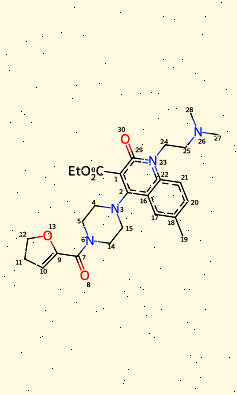 CCOC(=O)c1c(N2CCN(C(=O)C3=CCCO3)CC2)c2cc(C)ccc2n(CCN(C)C)c1=O